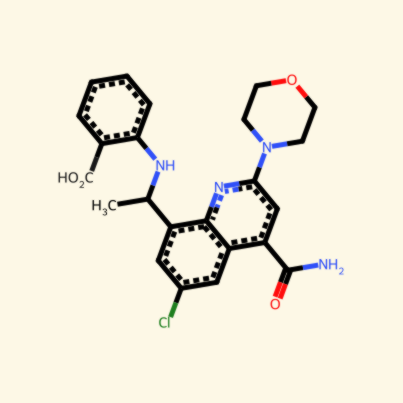 CC(Nc1ccccc1C(=O)O)c1cc(Cl)cc2c(C(N)=O)cc(N3CCOCC3)nc12